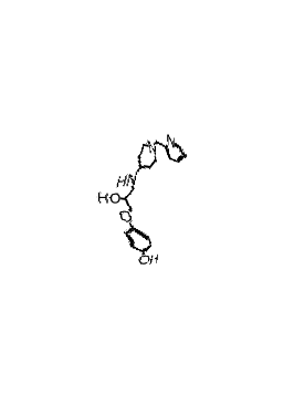 Oc1ccc(OCC(O)CNC2CCN(Cc3ccccn3)CC2)cc1